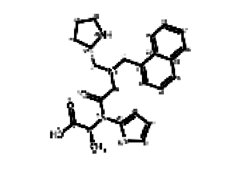 C[C@@H](C(=O)O)N(C(=O)CN(Cc1cccc2ccccc12)C[C@@H]1CCCN1)c1cccs1